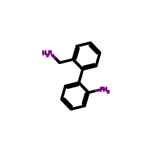 PCc1ccccc1-c1ccccc1P